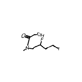 CN(CC(F)CCI)C(=O)O